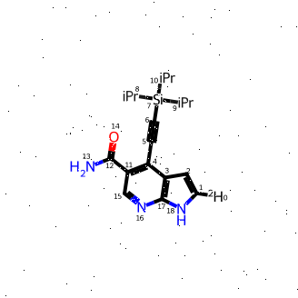 [2H]c1cc2c(C#C[Si](C(C)C)(C(C)C)C(C)C)c(C(N)=O)cnc2[nH]1